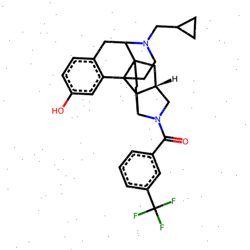 O=C(c1cccc(C(F)(F)F)c1)N1C[C@H]2CC34CCC1C2C31CCN(CC2CC2)C4Cc2ccc(O)cc21